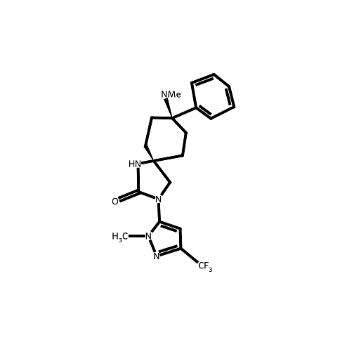 CN[C@]1(c2ccccc2)CC[C@@]2(CC1)CN(c1cc(C(F)(F)F)nn1C)C(=O)N2